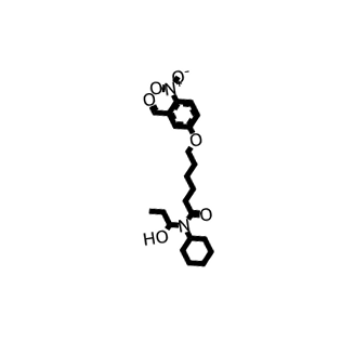 CCC(O)N(C(=O)CCCCCOc1ccc([N+](=O)[O-])c(C=O)c1)C1CCCCC1